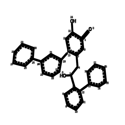 O=c1cc(CC(O)c2ccccc2-c2ccccc2)n(-c2cccc(-c3ccccc3)c2)cc1O